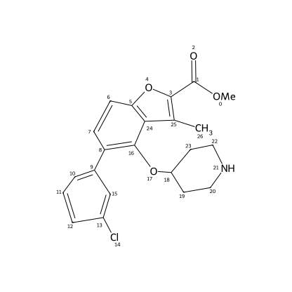 COC(=O)c1oc2ccc(-c3cccc(Cl)c3)c(OC3CCNCC3)c2c1C